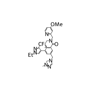 CCn1cc(-c2cc(CN3C=NN(C)C3)cc3c2CCN(Cc2cc(OC)ccn2)C3=O)c(C(F)(F)F)n1